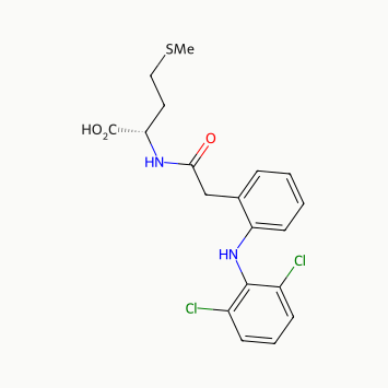 CSCC[C@H](NC(=O)Cc1ccccc1Nc1c(Cl)cccc1Cl)C(=O)O